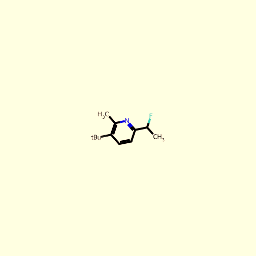 Cc1nc(C(C)F)ccc1C(C)(C)C